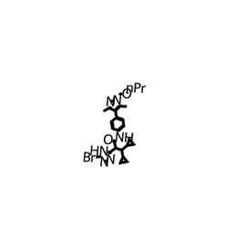 CCCOCn1nc(C)c(-c2ccc(NC(=O)C(c3nnc(Br)[nH]3)C(C3CC3)C3CC3)cc2)c1C